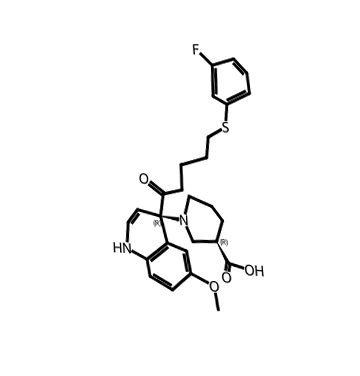 COc1ccc2c(c1)[C@](C(=O)CCCCSc1cccc(F)c1)(N1CCC[C@@H](C(=O)O)C1)C=CN2